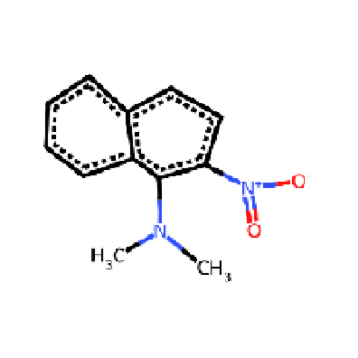 CN(C)c1c([N+](=O)[O-])ccc2ccccc12